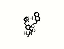 NC(=O)c1ccc(Cc2cc[nH]n2)cc1OCCc1ccc2ccccc2c1